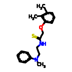 Cc1cccc(OCC(=S)NCCN(C)c2ccccc2)c1C